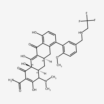 COc1ccc(CNCC(F)(F)F)cc1-c1ccc(O)c2c1C[C@H]1C[C@H]3C(N(C)C)C(O)=C(C(N)=O)C(=O)[C@]3(O)C(O)=C1C2=O